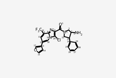 NC1CN(C(=O)c2nc3c(C(F)(F)F)cc(-c4ccoc4)cn3c2Cl)CC1c1ccccc1